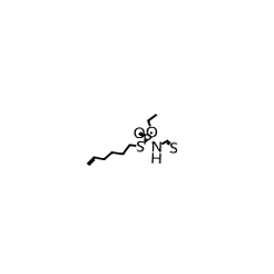 C=CCCCCSP(=O)(NC=S)OCC